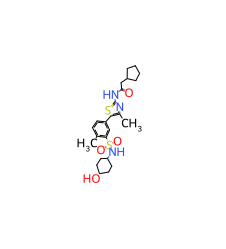 Cc1ccc(-c2sc(NC(=O)CC3CCCC3)nc2C)cc1S(=O)(=O)NC1CCC(O)CC1